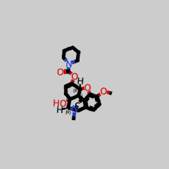 COc1ccc2c3c1O[C@H]1C(OC(=O)N4CCCCC4)=CC[C@@]4(O)[C@@H](C2)N(C)CC[C@]314